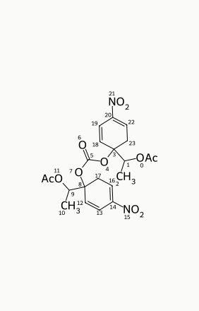 CC(=O)OC(C)C1(OC(=O)OC2(C(C)OC(C)=O)C=CC([N+](=O)[O-])=CC2)C=CC([N+](=O)[O-])=CC1